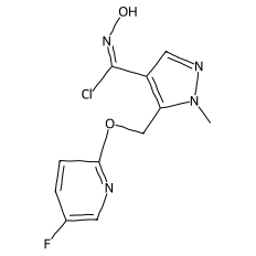 Cn1ncc(/C(Cl)=N\O)c1COc1ccc(F)cn1